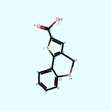 O=C(O)c1cc2c(s1)-c1ccccc1SC2